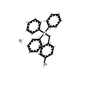 CC(C)c1ccc(C[P+](c2ccccc2)(c2ccccc2)c2ccccc2)cc1.[Br-]